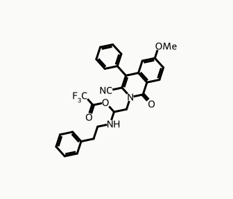 COc1ccc2c(=O)n(CC(NCCc3ccccc3)OC(=O)C(F)(F)F)c(C#N)c(-c3ccccc3)c2c1